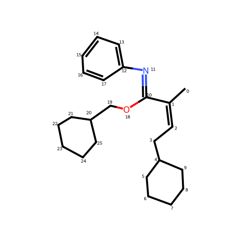 CC(=CCC1CCCCC1)C(=Nc1ccccc1)OCC1CCCCC1